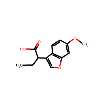 CCC(C(=O)O)c1coc2cc(OC)ccc12